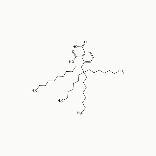 CCCCCCCCCCC(c1cccc(C(=O)O)c1C(=O)O)C(CCCCCCC)(CCCCCCC)CCCCCCCC